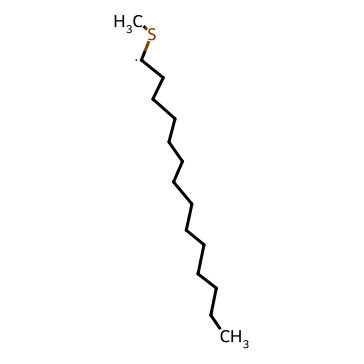 CCCCCCCCCCCCC[CH]SC